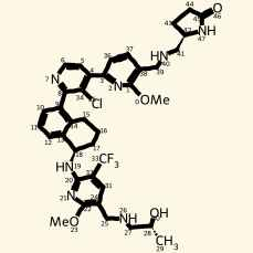 COc1nc(-c2ccnc(-c3cccc4c3CCC[C@H]4Nc3nc(OC)c(CNC[C@@H](C)O)cc3C(F)(F)F)c2Cl)ccc1CNC[C@H]1CCC(=O)N1